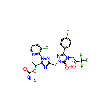 CC(OC(N)=O)c1nc(Cn2nc(-c3ccc(Cl)cc3)n(C[C@H](O)C(F)(F)F)c2=O)nn1-c1ncccc1F